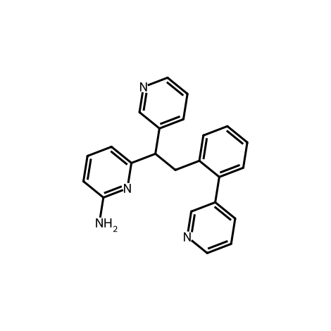 Nc1cccc(C(Cc2ccccc2-c2cccnc2)c2cccnc2)n1